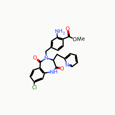 COC(=O)c1ccc(CN2C(=O)c3ccc(Cl)cc3NC(=O)C2Cc2ccccn2)cc1N